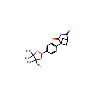 CC1(C)OB(c2ccc(C34CC(C3)C(=O)NC4=O)cc2)OC1(C)C